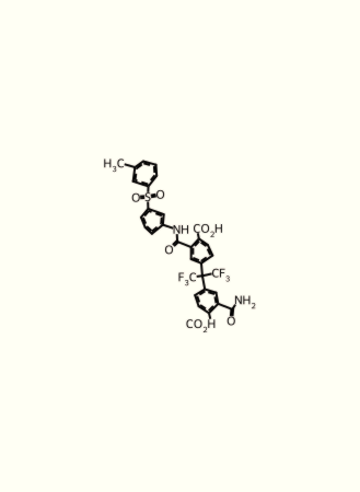 Cc1cccc(S(=O)(=O)c2cccc(NC(=O)c3cc(C(c4ccc(C(=O)O)c(C(N)=O)c4)(C(F)(F)F)C(F)(F)F)ccc3C(=O)O)c2)c1